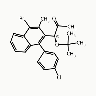 CC(=O)[C@@H](OC(C)(C)C)c1c(C)c(Br)c2ccccc2c1-c1ccc(Cl)cc1